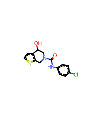 O=C(Nc1ccc(Cl)cc1)N1Cc2sccc2C(O)C1